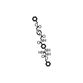 N=C(NC(=O)OCc1ccccc1)Nc1ccc(C(=O)NCC(=O)N2CCN(CC(=O)OCc3ccccc3)CC2)cc1